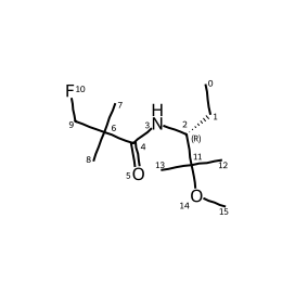 CC[C@@H](NC(=O)C(C)(C)CF)C(C)(C)OC